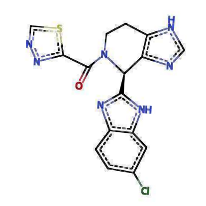 O=C(c1nncs1)N1CCc2[nH]cnc2[C@H]1c1nc2ccc(Cl)cc2[nH]1